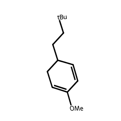 COC1=CCC(CCC(C)(C)C)C=C1